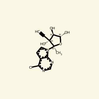 C#C[C@@]1(O)[C@@H](O)[C@H](O)O[C@@]1(C)n1ccc2c(Cl)ncnc21